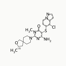 C[C@H]1CC2(CCN(c3nc(N)c(Sc4ccn5nccc5c4Cl)c(=O)n3C)CC2)CO1